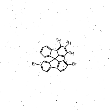 [2H]c1c([2H])c([2H])c2c(c1[2H])-c1ccccc1C21c2cc(Br)ccc2-c2ccc(Br)cc21